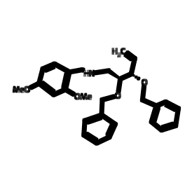 C=C[C@H](OCc1ccccc1)[C@H](CNCc1ccc(OC)cc1OC)OCc1ccccc1